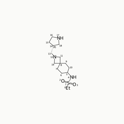 CCS(=O)(=O)NC1CCC2(CC1)CN(C[C@@H]1CCNC1)C2